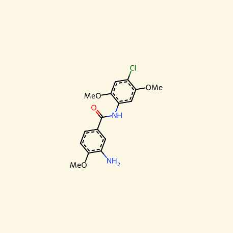 COc1ccc(C(=O)Nc2cc(OC)c(Cl)cc2OC)cc1N